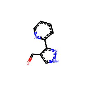 O=Cc1c[nH]nc1-c1ccccn1